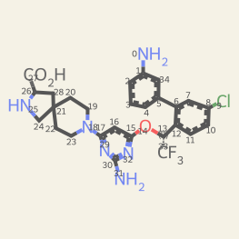 Nc1cccc(-c2cc(Cl)ccc2[C@@H](Oc2cc(N3CCC4(CC3)CNC(C(=O)O)C4)nc(N)n2)C(F)(F)F)c1